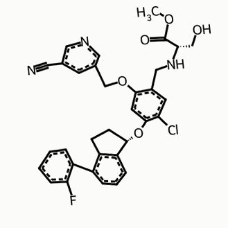 COC(=O)[C@H](CO)NCc1cc(Cl)c(O[C@H]2CCc3c(-c4ccccc4F)cccc32)cc1OCc1cncc(C#N)c1